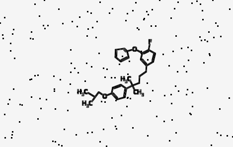 CC(C)COc1ccc(C(C)(C)CCCc2ccc(F)c(Oc3ccccc3)c2)cc1